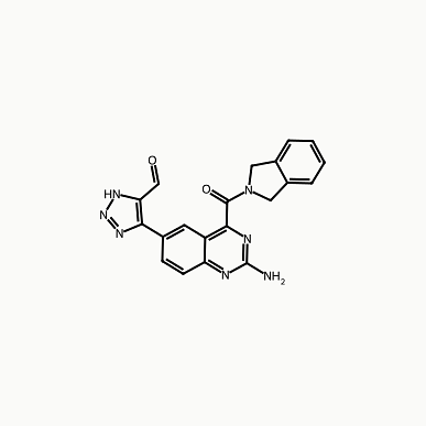 Nc1nc(C(=O)N2Cc3ccccc3C2)c2cc(-c3nn[nH]c3C=O)ccc2n1